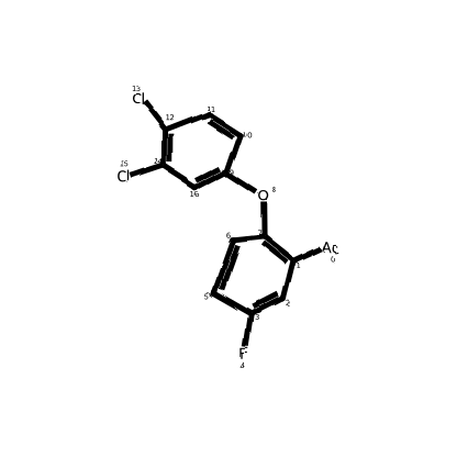 CC(=O)c1cc(F)ccc1Oc1ccc(Cl)c(Cl)c1